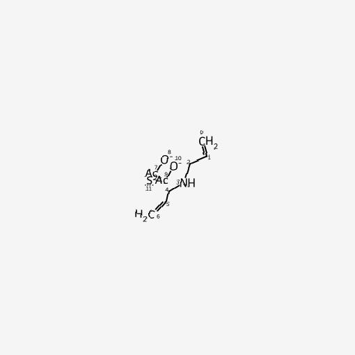 C=CCNCC=C.CC(=O)[O-].CC(=O)[O-].[S+2]